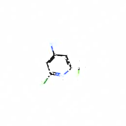 CF.Nc1ccnc(Cl)c1